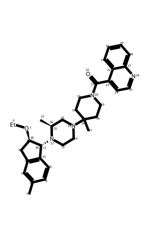 CCO[C@@H]1Cc2cc(C)ccc2[C@H]1N1CCN(C2(C)CCN(C(=O)c3ccnc4ccccc34)CC2)C[C@@H]1C